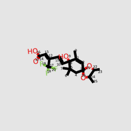 CC1=CC2(CC(C)(C)C1(O)C=CC(=CC(=O)O)C(F)(F)F)OC(C)C(C)O2